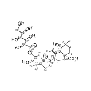 CC1(C)CCC2(C(=O)O)CCC3(C)C(=CCC4C5(C)CC(OC(=O)C(O)C(O)C(O)C(O)CO)C(O)C(C)(C)C5CCC43C)C2C1O